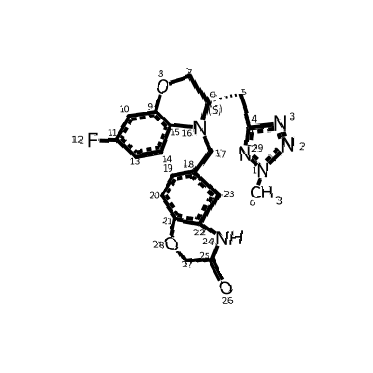 Cn1nnc(C[C@H]2COc3cc(F)ccc3N2Cc2ccc3c(c2)NC(=O)CO3)n1